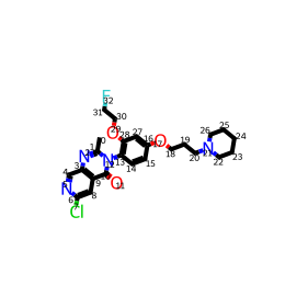 Cc1nc2cnc(Cl)cc2c(=O)n1-c1ccc(OCCCN2CCCCC2)cc1OCCF